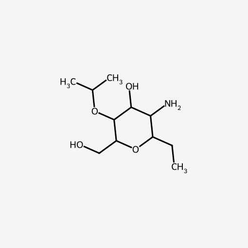 CCC1OC(CO)C(OC(C)C)C(O)C1N